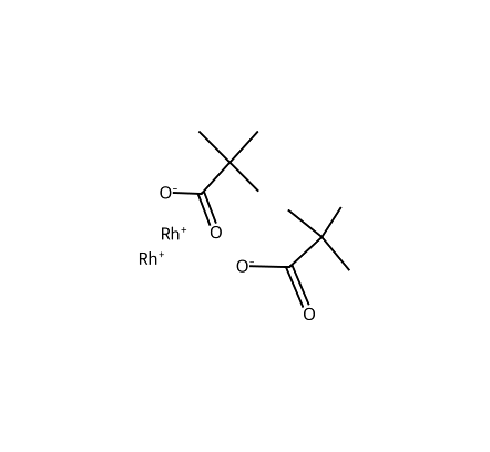 CC(C)(C)C(=O)[O-].CC(C)(C)C(=O)[O-].[Rh+].[Rh+]